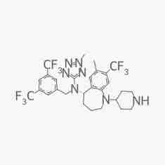 Cc1cc2c(cc1C(F)(F)F)N(C1CCNCC1)CCC[C@@H]2N(Cc1cc(C(F)(F)F)cc(C(F)(F)F)c1)c1nnn(C)n1